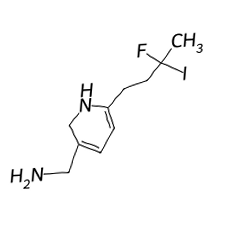 CC(F)(I)CCC1=CC=C(CN)CN1